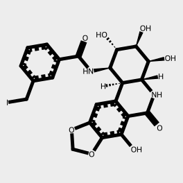 O=C(N[C@H]1[C@H](O)[C@@H](O)[C@@H](O)[C@@H]2NC(=O)c3c(cc4c(c3O)OCO4)[C@@H]12)c1cccc(CI)c1